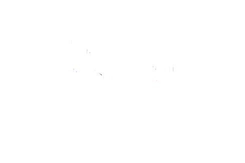 CN1c2ccc([C]3CC[N@@+](C)(OCc4ccccc4)C3=O)cc2[C@]2(C)CCNC12